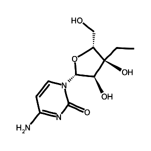 CC[C@@]1(O)[C@@H](CO)O[C@@H](n2ccc(N)nc2=O)[C@@H]1O